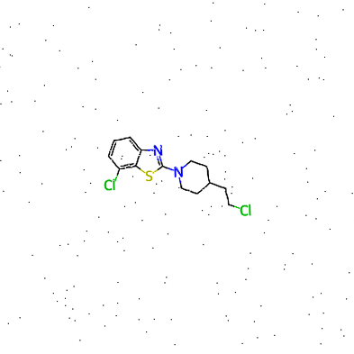 ClCCC1CCN(c2nc3cccc(Cl)c3s2)CC1